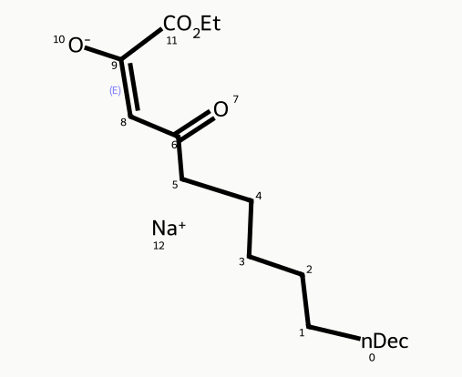 CCCCCCCCCCCCCCCC(=O)/C=C(/[O-])C(=O)OCC.[Na+]